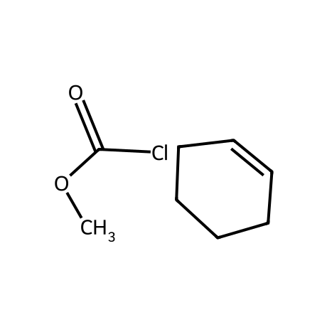 C1=CCCCC1.COC(=O)Cl